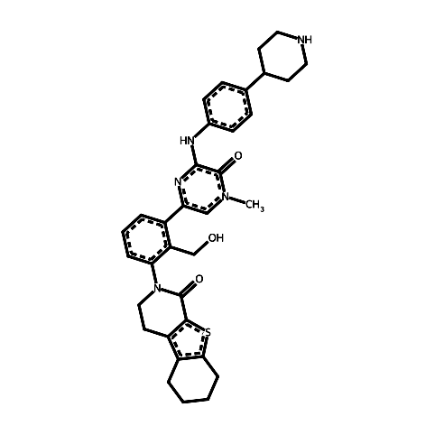 Cn1cc(-c2cccc(N3CCc4c(sc5c4CCCC5)C3=O)c2CO)nc(Nc2ccc(C3CCNCC3)cc2)c1=O